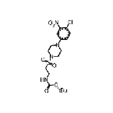 CC(C)(C)OC(=O)NCCS(=O)(=O)N1CCN(c2ccc(Cl)c([N+](=O)[O-])c2)CC1